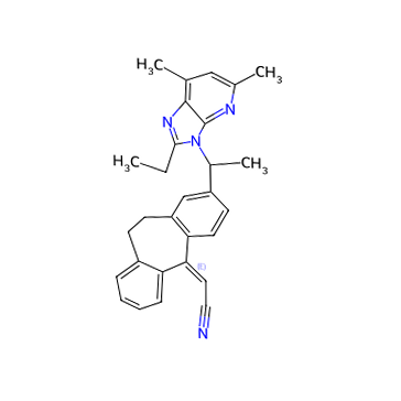 CCc1nc2c(C)cc(C)nc2n1C(C)c1ccc2c(c1)CCc1ccccc1/C2=C\C#N